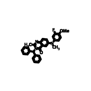 COc1ccc(N(C)c2ccc3nc(C)n(C(c4ccccc4)c4ccccc4)c(=O)c3c2)cc1F